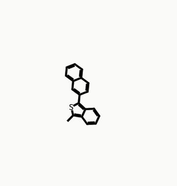 Cc1sc(-c2ccc3ccccc3c2)c2ccccc12